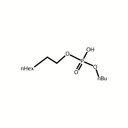 CCCCCCCCOP(=O)(O)OCCCC